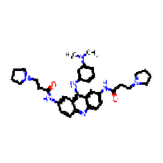 CN(C)c1cccc(Nc2c3cc(NC(=O)CCN4CCCC4)ccc3nc3ccc(NC(=O)CCN4CCCC4)cc23)c1